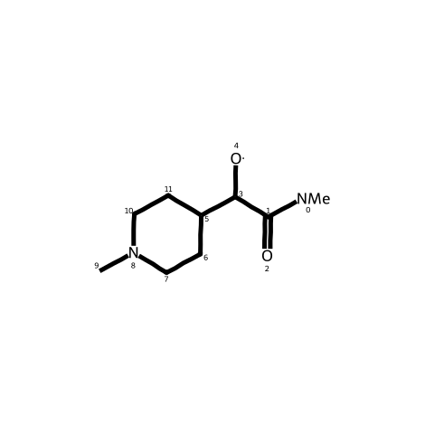 CNC(=O)C([O])C1CCN(C)CC1